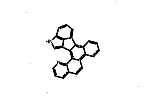 c1cnc2c(c1)ccc1c3ccccc3c3c(c12)-c1c[nH]c2cccc-3c12